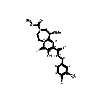 CNC1CN(C(=O)OC(C)(C)C)CCn2c1nc(C(=O)NCc1ccc(F)c(C)c1)c(O)c2=O